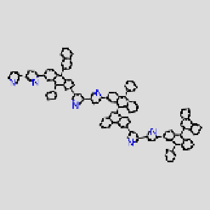 c1ccc(-c2c3cc(-c4cncc(-c5ccc(-c6ccc7c(-c8ccccc8)c8ccccc8c(-c8cc9ccccc9c9cc(-c%10cncc(-c%11ccc(-c%12ccc%13c(-c%14cc%15ccccc%15c%15ccccc%14%15)c%14ccccc%14c(-c%14ccccc%14)c%13c%12)nc%11)c%10)ccc89)c7c6)nc5)c4)ccc3c(-c3ccc4ccccc4c3)c3ccc(-c4ccc(-c5cccnc5)cn4)cc23)cc1